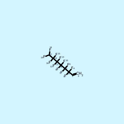 C=CC(F)(F)C(F)(F)C(F)(F)C(F)(F)C(F)(F)C(F)F